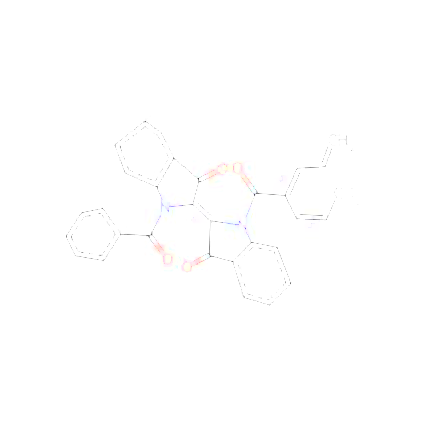 C=C/C=C(\C=C/C)C(=O)N1/C(=C2\C(=O)c3ccccc3N2C(=O)c2ccccc2)C(=O)c2ccccc21